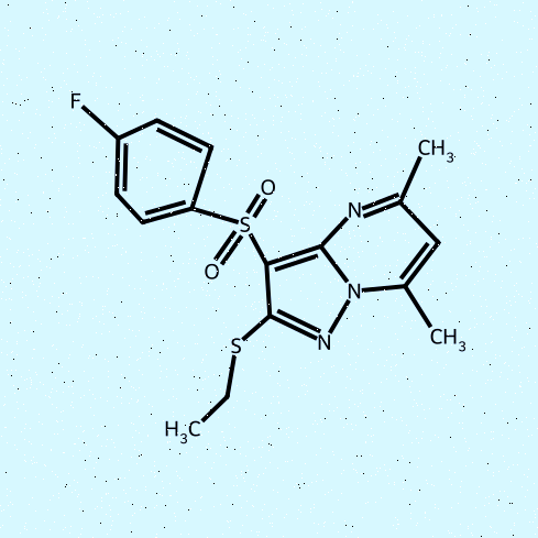 CCSc1nn2c(C)cc(C)nc2c1S(=O)(=O)c1ccc(F)cc1